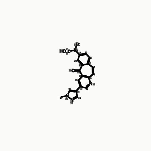 CCN(C(=O)O)c1ccc2ccc3ncc(-c4cnn(C)c4)cc3c(=O)c2c1